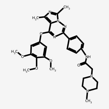 COc1cc(Oc2nc(-c3ccc(NC(=O)CN4CCN(C)CC4)cc3)nn3c(C)nc(C)c23)cc(OC)c1OC